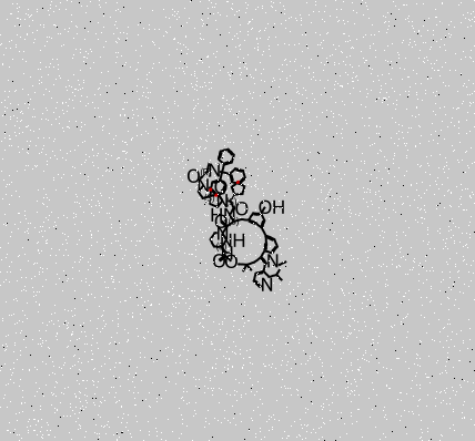 CCn1c(-c2cccnc2C(C)C)c2c3cc(ccc31)-c1cc(O)cc(c1)C[C@H](NC(=O)[C@H](C1CCCC1)N1CC[C@]3(CCN(C(=O)[C@H]4CN4C(c4ccccc4)(c4ccccc4)c4ccccc4)C3)C1=O)C(=O)N1CCC[C@H](N1)C(=O)OCC(C)(C)C2